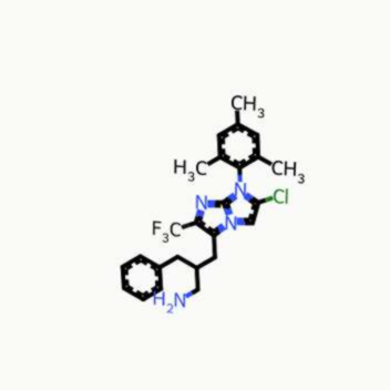 Cc1cc(C)c(-n2c(Cl)cn3c(CC(CN)Cc4ccccc4)c(C(F)(F)F)nc23)c(C)c1